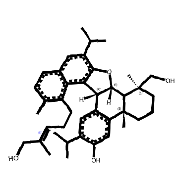 C/C(=C\CCc1c(C)ccc2cc(C(C)C)c3c(c12)[C@H]1c2cc(C(C)C)c(O)cc2[C@@]2(C)CCC[C@](C)(CO)C2[C@H]1O3)CO